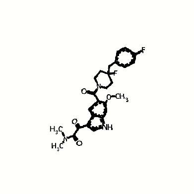 COc1cc2[nH]cc(C(=O)C(=O)N(C)C)c2cc1C(=O)N1CCC(F)(Cc2ccc(F)cc2)CC1